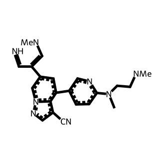 CN/C=C(\C=N)c1cc(-c2ccc(N(C)CCNC)nc2)c2c(C#N)cnn2c1